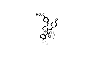 CC1(C)C2=C3C=C4C=CC(=O)C=C4N(c4ccc(C(=O)O)cc4)C3CCN2c2ccc(S(=O)(=O)O)cc21